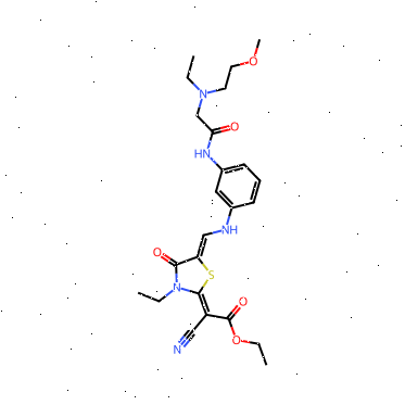 CCOC(=O)C(C#N)=c1sc(=CNc2cccc(NC(=O)CN(CC)CCOC)c2)c(=O)n1CC